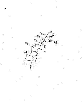 CCC(C)(C(C)(F)F)C(C)(CC)C(F)(OC(F)(F)C(F)(F)C(F)(F)C(F)(F)S(=O)(=O)O)C(F)F